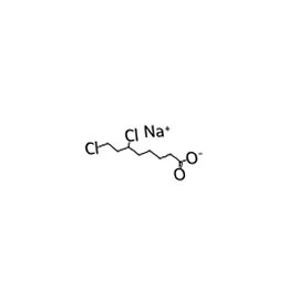 O=C([O-])CCCCC(Cl)CCCl.[Na+]